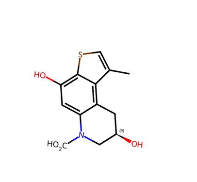 Cc1csc2c(O)cc3c(c12)C[C@@H](O)CN3C(=O)O